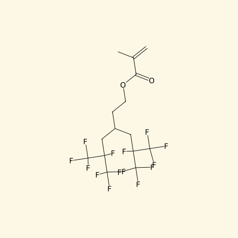 C=C(C)C(=O)OCCC(CC(F)(C(F)(F)F)C(F)(F)F)CC(F)(C(F)(F)F)C(F)(F)F